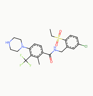 CCS(=O)(=O)c1ccc(Cl)cc1CNC(=O)c1ccc(N2CCNCC2)c(C(F)(F)F)c1C